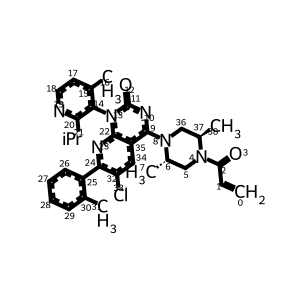 C=CC(=O)N1C[C@H](C)N(c2nc(=O)n(-c3c(C)ccnc3C(C)C)c3nc(-c4ccccc4C)c(Cl)cc23)C[C@H]1C